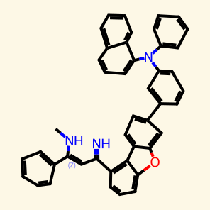 CN/C(=C\C(=N)c1cccc2oc3cc(-c4cccc(N(c5ccccc5)c5cccc6ccccc56)c4)ccc3c12)c1ccccc1